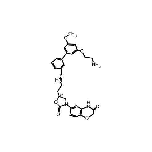 COc1cc(OCCN)cc(-c2cccc(CNCC[C@H]3CN(c4ccc5c(n4)NC(=O)CO5)C(=O)O3)c2)c1